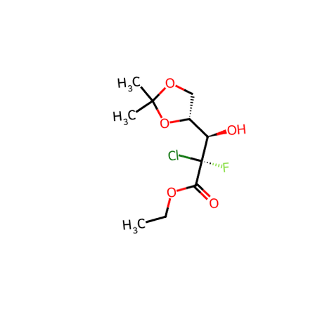 CCOC(=O)[C@@](F)(Cl)[C@H](O)[C@H]1COC(C)(C)O1